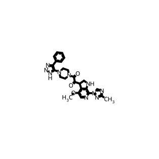 COc1cnc(-n2cnc(C)n2)c2c1C(C(=O)C(=O)N1CCN(c3[nH]nnc3-c3ccccc3)CC1)CN2